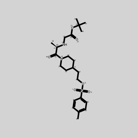 Cc1ccc(S(=O)(=O)OCCC2CCN(C(=O)[C@@H](C)NCC(=O)OC(C)(C)C)CC2)cc1